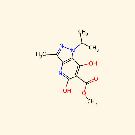 COC(=O)c1c(O)nc2c(C)nn(C(C)C)c2c1O